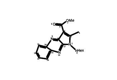 CCCCCCn1c(C)c(C(=O)OC)c2nc3ccccc3nc21